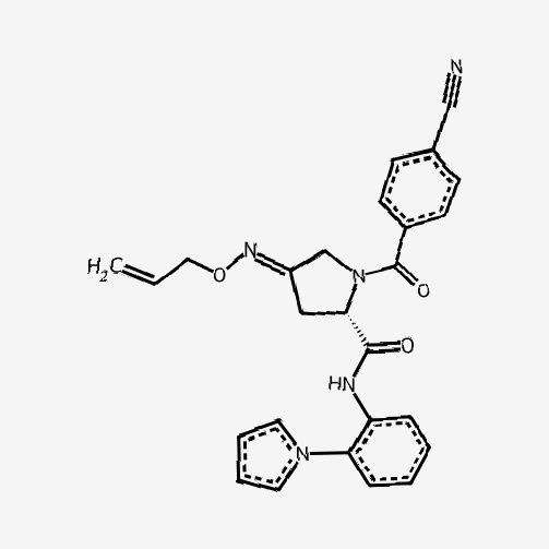 C=CCO/N=C1\C[C@@H](C(=O)Nc2ccccc2-n2cccc2)N(C(=O)c2ccc(C#N)cc2)C1